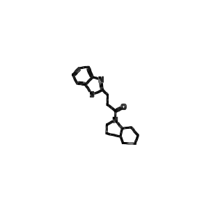 O=C(CCc1nc2ccccc2s1)N1CCC2CCCCC21